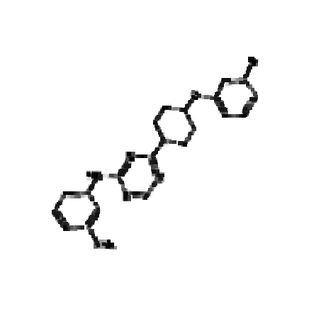 CC(=O)Nc1cccc(Nc2ncnc(N3CCC(Oc4cccc(Br)c4)CC3)n2)c1